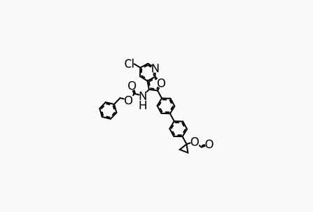 O=COC1(c2ccc(-c3ccc(-c4oc5ncc(Cl)cc5c4NC(=O)OCc4ccccc4)cc3)cc2)CC1